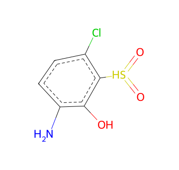 Nc1ccc(Cl)c([SH](=O)=O)c1O